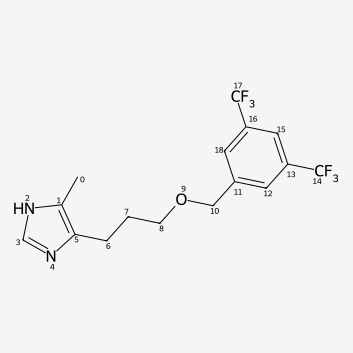 Cc1[nH]cnc1CCCOCc1cc(C(F)(F)F)cc(C(F)(F)F)c1